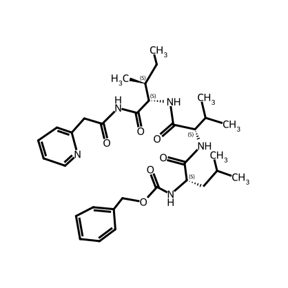 CC[C@H](C)[C@H](NC(=O)[C@@H](NC(=O)[C@H](CC(C)C)NC(=O)OCc1ccccc1)C(C)C)C(=O)NC(=O)Cc1ccccn1